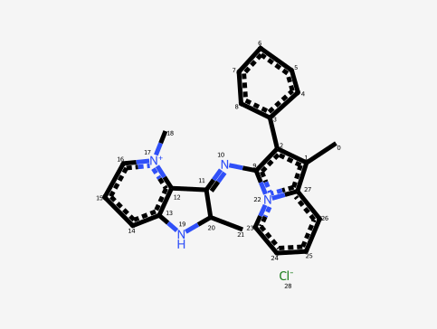 Cc1c(-c2ccccc2)c(N=C2c3c(ccc[n+]3C)NC2C)n2ccccc12.[Cl-]